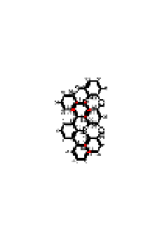 c1ccc(-c2cccc(-c3ccccc3)c2B2c3ccccc3Oc3cc4c(cc32)B2c3ccccc3Sc3cccc(c32)O4)cc1